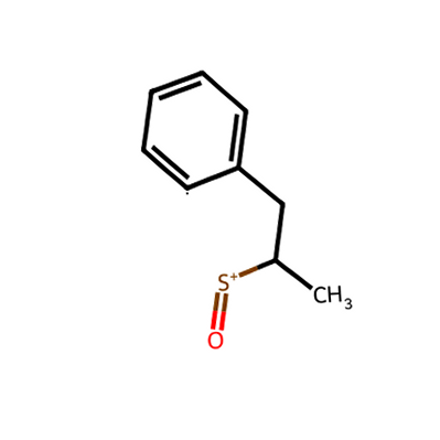 CC(Cc1[c]cccc1)[S+]=O